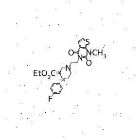 CCOC(=O)[C@@H]1CN(CCn2c(=O)c3ccsc3n(C)c2=O)CC[C@@H]1c1ccc(F)cc1